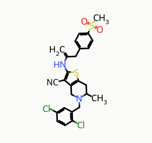 C=C(Cc1ccc(S(C)(=O)=O)cc1)Nc1sc2c(c1C#N)CN(Cc1cc(Cl)ccc1Cl)C(C)C2